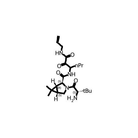 C=CCNC(=O)C(=O)C(CCC)NC(=O)[C@@H]1[C@@H]2[C@H](CN1C(=O)[C@@H](N)C(C)(C)C)C2(C)C